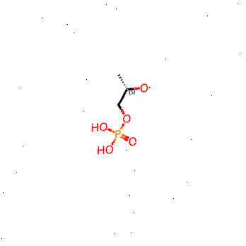 C[C@H]([O])COP(=O)(O)O